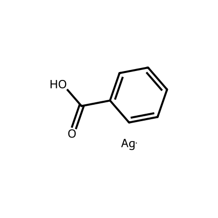 O=C(O)c1ccccc1.[Ag]